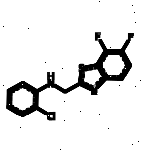 Fc1ccc2nc(CNc3ccccc3Cl)sc2c1F